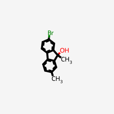 Cc1ccc2c(c1)C(C)(O)c1cc(Br)ccc1-2